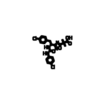 CC(C)(C(=O)O)c1nc(C(Cc2ccc(Cl)cc2)NC(=O)Nc2ccc(Cl)cc2)no1